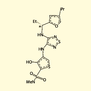 CC[C@@H](Nc1nsnc1Nc1csc(S(=O)(=O)NC)c1O)c1cc(C(C)C)co1